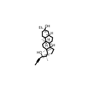 CC#C[C@@H](O)[C@@H](C)[C@H]1CC[C@H]2[C@@H]3CC[C@@H]4C[C@@](O)(CC)CC[C@]4(C)[C@H]3CC[C@]12C